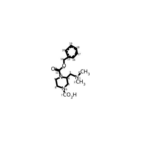 CN(C)CC1CN(C(=O)O)CCN1C(=O)OCc1ccccc1